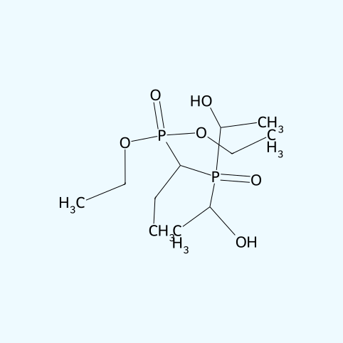 CCOP(=O)(OCC)C(CC)P(=O)(C(C)O)C(C)O